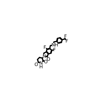 O=C1CCC(N2Cc3c(cc(F)c(CNCc4ccc(C(F)F)cc4)c3F)C2=O)C(=O)N1